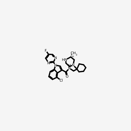 C[C@@H]1CN(C2(CNC(=O)c3cn(-c4ncc(F)cn4)c4cccc(Cl)c34)CCCCC2)CCN1